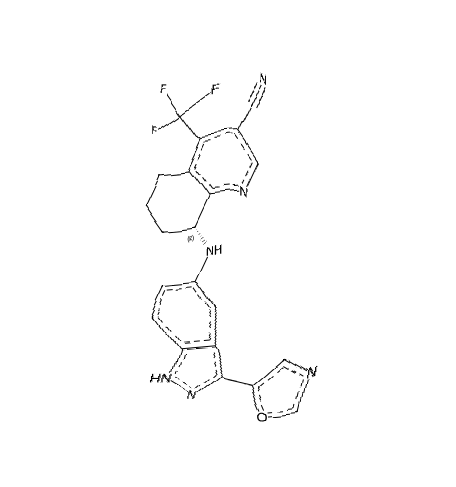 N#Cc1cnc2c(c1C(F)(F)F)CCC[C@H]2Nc1ccc2[nH]nc(-c3cnco3)c2c1